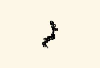 Cc1nc(COc2ccc(Nc3ncnc4cc(C#C[C@@H]5C[C@@H](OC(=O)N6CCOCC6)CN5)sc34)cc2Cl)cs1